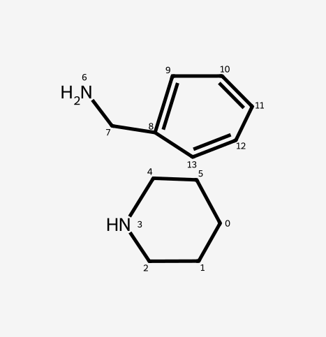 C1CCNCC1.NCc1ccccc1